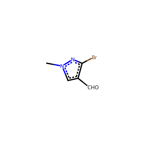 Cn1cc(C=O)c(Br)n1